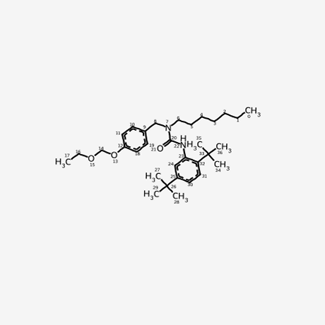 CCCCCCCN(Cc1ccc(OCOCC)cc1)C(=O)Nc1cc(C(C)(C)C)ccc1C(C)(C)C